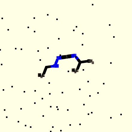 CCNN=C=NC(C)C